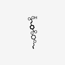 C=CCCOC1CCC(OC(=O)c2ccc(/C=C/C(=O)O)cc2)CC1